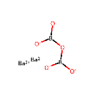 [Ba+2].[Ba+2].[O-]B([O-])OB([O-])[O-]